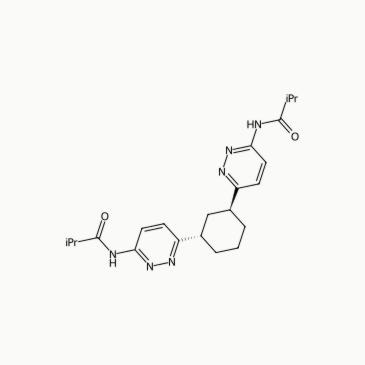 CC(C)C(=O)Nc1ccc([C@H]2CCC[C@H](c3ccc(NC(=O)C(C)C)nn3)C2)nn1